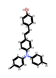 Cc1ccc(N(c2ccc(C)cc2)c2ccc(/C=C/c3ccc(Br)cc3)cc2)cc1